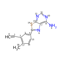 C#Cc1cc(-c2nc3c(N)ncnc3s2)ccc1C